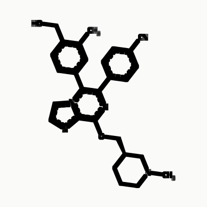 Cc1cc(-c2c(-c3ccc(C#N)cc3)nc(OC[C@@H]3CCCN(C)C3)c3nccn23)ccc1CO